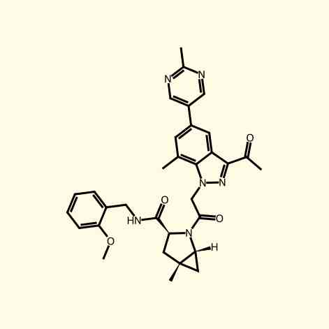 COc1ccccc1CNC(=O)[C@@H]1C[C@@]2(C)C[C@H]2N1C(=O)Cn1nc(C(C)=O)c2cc(-c3cnc(C)nc3)cc(C)c21